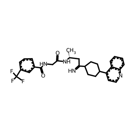 C[C@H](CC(=N)C1CCC(c2ccnc3ccccc23)CC1)NC(=O)CNC(=O)c1cccc(C(F)(F)F)c1